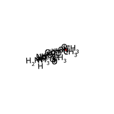 CN(C)C(=O)COC(=O)Cc1ccc(OC(=O)c2ccc(NC(=N)N)cc2)cc1.C[S+](C)[O-]